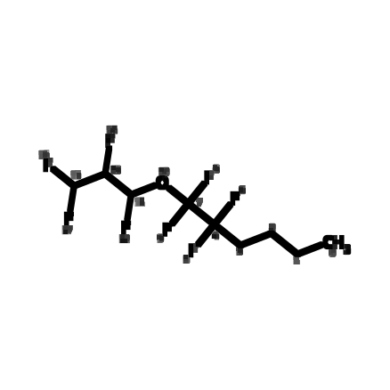 CCCCC(F)(F)C(F)(F)OC(F)C(F)C(F)F